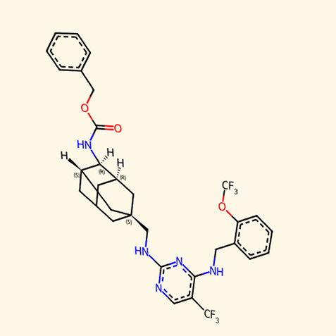 O=C(N[C@H]1[C@@H]2CC3C[C@H]1C[C@@](CNc1ncc(C(F)(F)F)c(NCc4ccccc4OC(F)(F)F)n1)(C3)C2)OCc1ccccc1